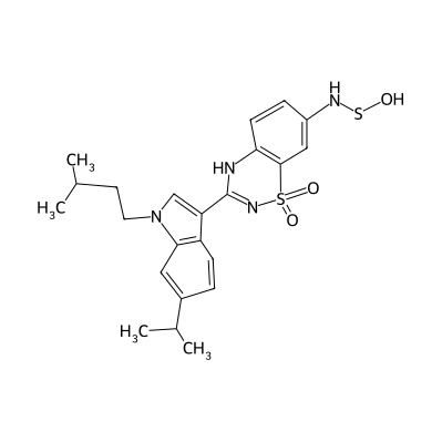 CC(C)CCn1cc(C2=NS(=O)(=O)c3cc(NSO)ccc3N2)c2ccc(C(C)C)cc21